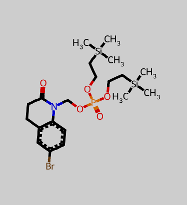 C[Si](C)(C)CCOP(=O)(OCC[Si](C)(C)C)OCN1C(=O)CCc2cc(Br)ccc21